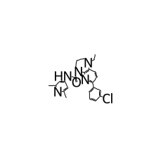 CCN1CCCN(C(=O)Nc2cc(C)nc(C)c2)c2nc(-c3cccc(Cl)c3)ccc21